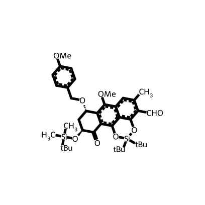 COc1ccc(CO[C@H]2C[C@H](O[Si](C)(C)C(C)(C)C)C(=O)c3c2c(OC)c2cc(C)c(C=O)c4c2c3O[Si](C(C)(C)C)(C(C)(C)C)O4)cc1